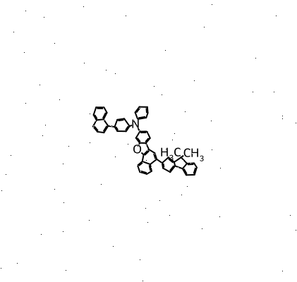 CC1(C)c2ccccc2-c2ccc(-c3cc4c5ccc(N(c6ccccc6)c6ccc(-c7cccc8ccccc78)cc6)cc5oc4c4ccccc34)cc21